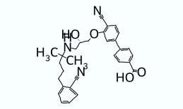 CC(C)(CCCc1ccccc1C#N)NC[C@H](O)COc1cc(-c2ccc(C(=O)O)cc2)ccc1C#N